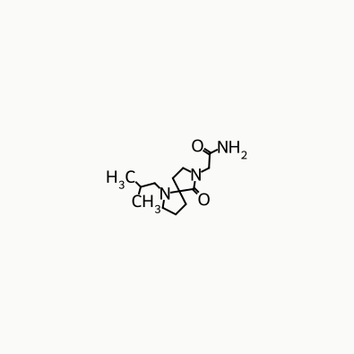 CC(C)CN1CCCC12CCN(CC(N)=O)C2=O